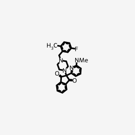 CNc1cccc(C2(N3CCN(Cc4cc(F)ccc4C)CC3)C(=O)c3ccccc3C2=O)n1